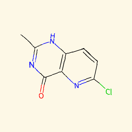 Cc1nc(=O)c2nc(Cl)ccc2[nH]1